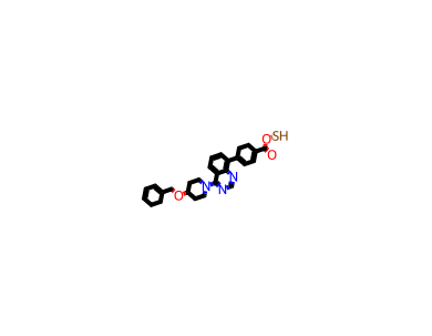 O=C(OS)C1=CC=C(c2cccc3c(N4CCC(OCC5=CC=CCC5)CC4)ncnc23)CC1